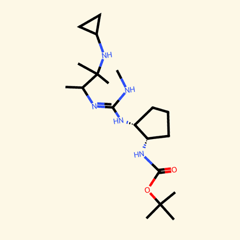 CN/C(=N\C(C)C(C)(C)NC1CC1)N[C@@H]1CCC[C@@H]1NC(=O)OC(C)(C)C